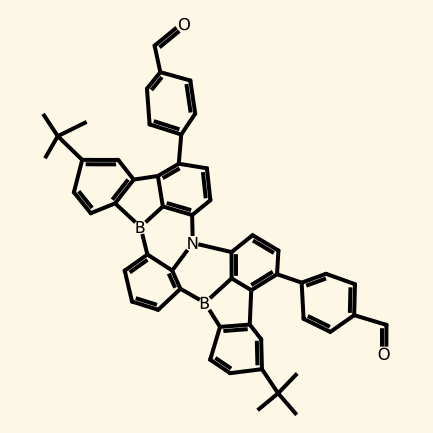 CC(C)(C)c1ccc2c(c1)-c1c(-c3ccc(C=O)cc3)ccc3c1B2c1cccc2c1N3c1ccc(-c3ccc(C=O)cc3)c3c1B2c1ccc(C(C)(C)C)cc1-3